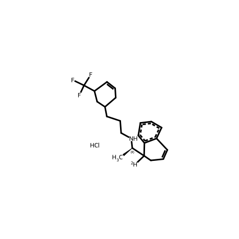 Cl.[2H]C1([C@@H](C)NCCCC2CC=CC(C(F)(F)F)C2)CC=Cc2ccccc21